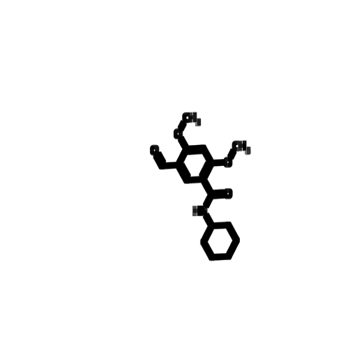 COc1cc(OC)c(C(=O)NC2CCCCC2)cc1C=O